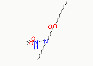 CCCCCCCCCCCOC(=O)CCCCCN(CCCCCCCC)CCCNC(=O)OC(C)(C)C